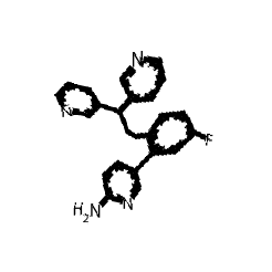 Nc1ccc(-c2cc(F)ccc2CC(c2cccnc2)c2cccnc2)cn1